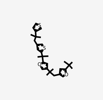 CC(C)(C)c1cc(CC(C)(C)c2coc(C(C)(C)c3cc(CC(C)(C)c4ccsc4)cs3)c2)co1